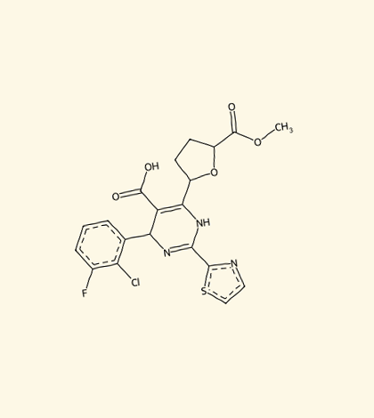 COC(=O)C1CCC(C2=C(C(=O)O)C(c3cccc(F)c3Cl)N=C(c3nccs3)N2)O1